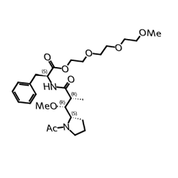 COCCOCCOCCOC(=O)[C@H](Cc1ccccc1)NC(=O)[C@H](C)[C@@H](OC)[C@@H]1CCCN1C(C)=O